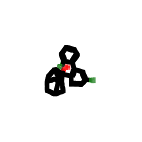 OC1(c2ccc(Cl)cc2-c2ccccc2Cl)C2CC3CC(C2)CC1C3